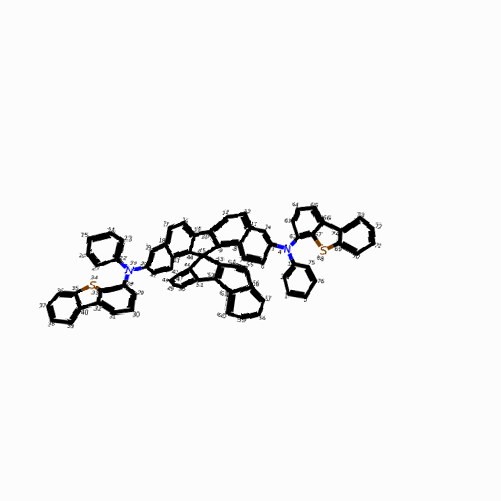 c1ccc(N(c2ccc3c4c(ccc3c2)-c2ccc3cc(N(c5ccccc5)c5cccc6c5sc5ccccc56)ccc3c2C42c3ccccc3-c3c2ccc2ccccc32)c2cccc3c2sc2ccccc23)cc1